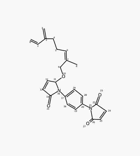 C=CC(=C)CC/C=C(/C)COC1C=CC(=O)N1c1ccc(N2C(=O)C=CC2=O)cc1